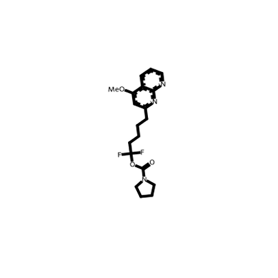 COc1cc(CCCCC(F)(F)OC(=O)N2CCCC2)nc2ncccc12